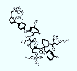 CC(NCc1c(F)cc(Cl)cc1Oc1ccc(-c2cnc(CN(C)C)n2C)cc1)C(=O)NC(CO[Si](C)(C)C(C)(C)C)C(=O)N(C)C1(Cc2ccc(Cl)cc2)CCCN(C(=O)C(CC(=O)O)CC(F)(F)F)C1